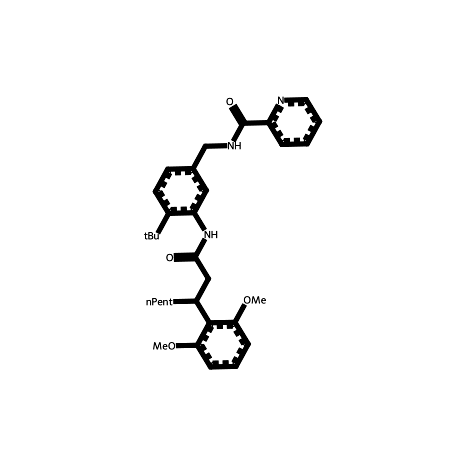 CCCCCC(CC(=O)Nc1cc(CNC(=O)c2ccccn2)ccc1C(C)(C)C)c1c(OC)cccc1OC